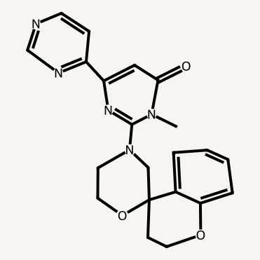 Cn1c(N2CCOC3(CCOc4ccccc43)C2)nc(-c2ccncn2)cc1=O